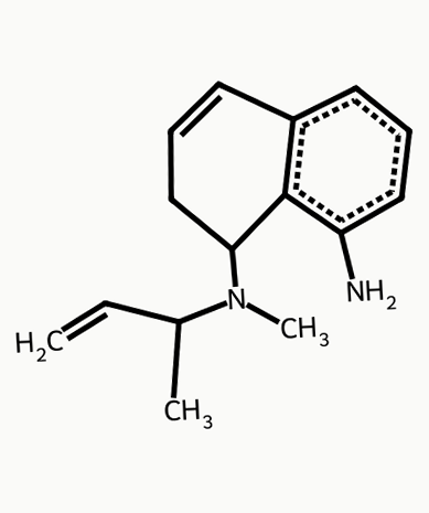 C=CC(C)N(C)C1CC=Cc2cccc(N)c21